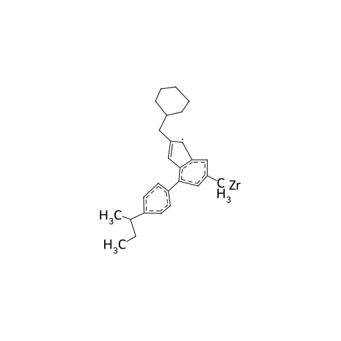 CCC(C)c1ccc(-c2cc(C)cc3c2C=C(CC2CCCCC2)[CH]3)cc1.[Zr]